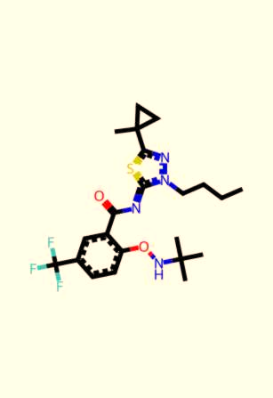 CCCCn1nc(C2(C)CC2)sc1=NC(=O)c1cc(C(F)(F)F)ccc1ONC(C)(C)C